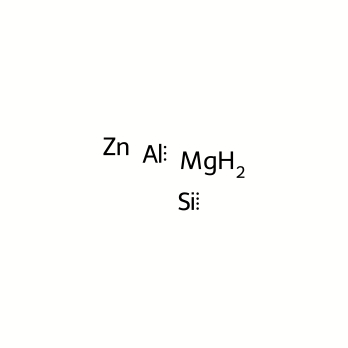 [Al].[MgH2].[Si].[Zn]